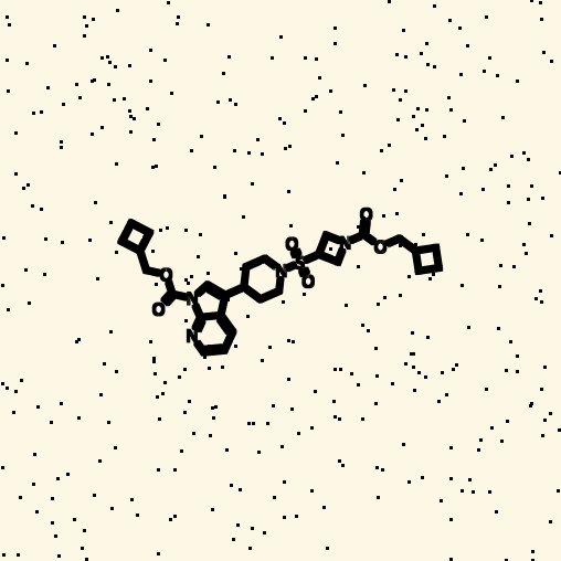 O=C(OCC1CCC1)N1CC(S(=O)(=O)N2CCC(c3cn(C(=O)OCC4CCC4)c4ncccc34)CC2)C1